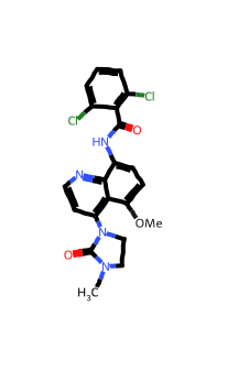 COc1ccc(NC(=O)c2c(Cl)cccc2Cl)c2nccc(N3CCN(C)C3=O)c12